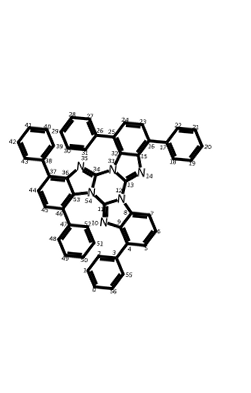 c1ccc(-c2cccc3c2nc2n3c3nc4c(-c5ccccc5)ccc(-c5ccccc5)c4n3c3nc4c(-c5ccccc5)ccc(-c5ccccc5)c4n23)cc1